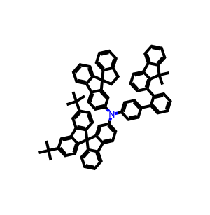 CC(C)(C)c1ccc2c(c1)-c1cc(C(C)(C)C)ccc1C21c2ccccc2-c2ccc(N(c3ccc(-c4ccccc4-c4cccc5c4C(C)(C)c4ccccc4-5)cc3)c3ccc4c(c3)C3(CCc5ccccc53)c3ccccc3-4)cc21